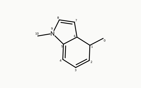 CC1C=CC=C2C1C=CN2C